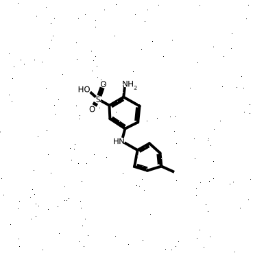 Cc1ccc(Nc2ccc(N)c(S(=O)(=O)O)c2)cc1